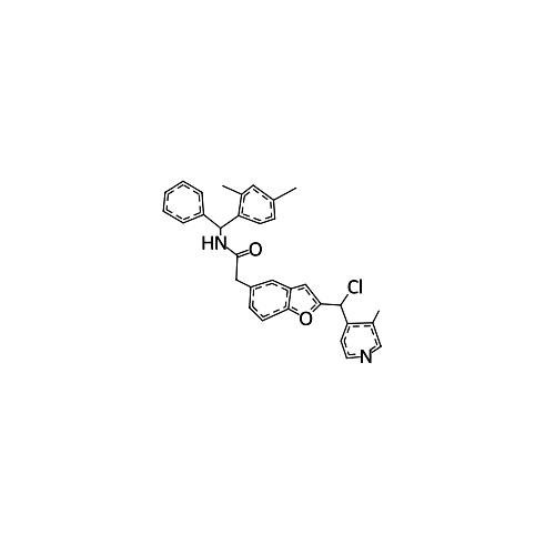 Cc1ccc(C(NC(=O)Cc2ccc3oc(C(Cl)c4ccncc4C)cc3c2)c2ccccc2)c(C)c1